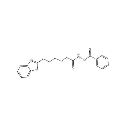 O=C(CCCCCc1nc2ccccc2s1)NOC(=O)c1ccccc1